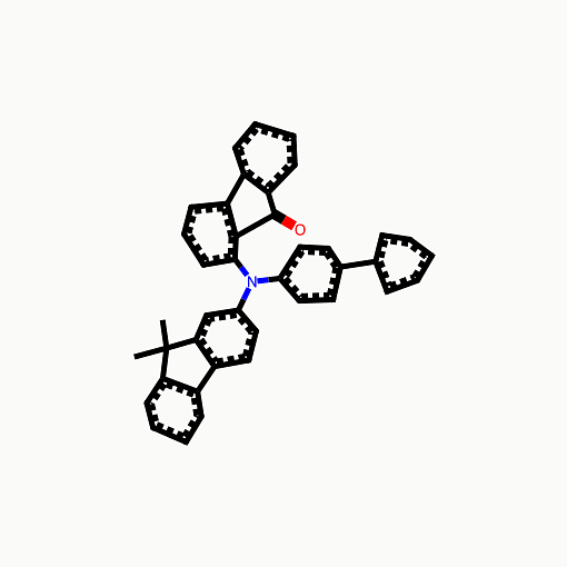 CC1(C)c2ccccc2-c2ccc(N(c3ccc(-c4ccccc4)cc3)c3cccc4c3C(=O)c3ccccc3-4)cc21